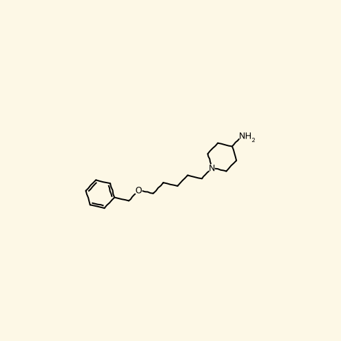 NC1CCN(CCCCCOCc2ccccc2)CC1